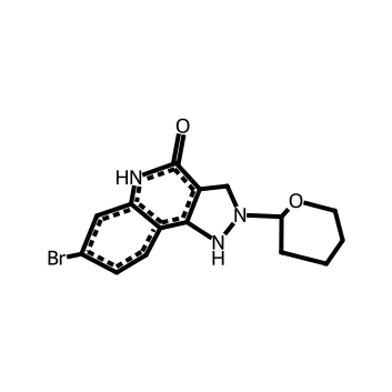 O=c1[nH]c2cc(Br)ccc2c2c1CN(C1CCCCO1)N2